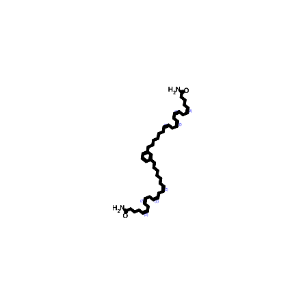 NC(=O)CCC/C=C\C/C=C\C/C=C\C/C=C\CCCCCCc1cccc(CCCCCC/C=C\C/C=C\C/C=C\C/C=C\CCCC(N)=O)c1